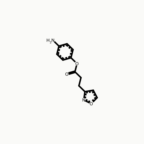 Nc1ccc(OC(=O)CCc2ccon2)cc1